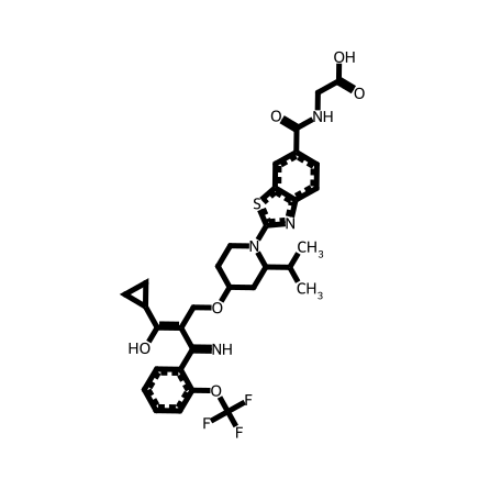 CC(C)C1CC(OC/C(C(=N)c2ccccc2OC(F)(F)F)=C(/O)C2CC2)CCN1c1nc2ccc(C(=O)NCC(=O)O)cc2s1